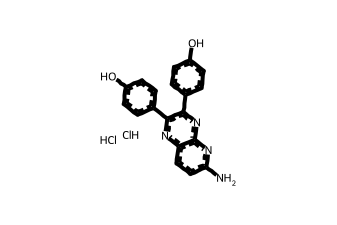 Cl.Cl.Nc1ccc2nc(-c3ccc(O)cc3)c(-c3ccc(O)cc3)nc2n1